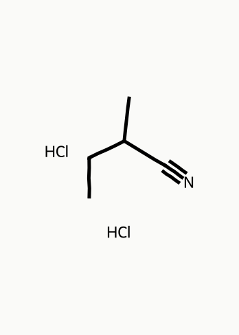 CCC(C)C#N.Cl.Cl